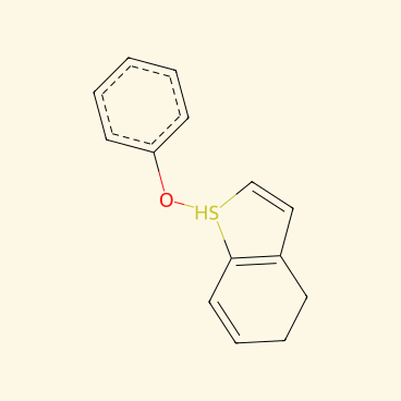 C1=CC2=C(C=C[SH]2Oc2ccccc2)CC1